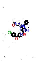 CC(=O)NCCNc1nc(-c2ccccc2)nc2[nH]c(C(=O)N3CCC(C(=O)c4ccc(Cl)cc4)CC3)cc12